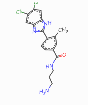 Cc1cc(C(=O)NCCCN)ccc1-c1nc2cc(Cl)c(Cl)cc2[nH]1